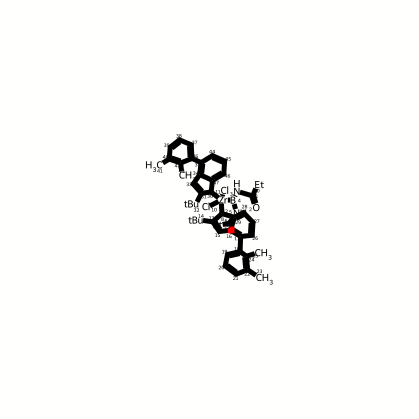 CCC(=O)N[B](NC(=O)CC)[Zr]([Cl])([Cl])([CH]1C(C(C)(C)C)=Cc2c(-c3cccc(C)c3C)cccc21)[CH]1C(C(C)(C)C)=Cc2c(-c3cccc(C)c3C)cccc21